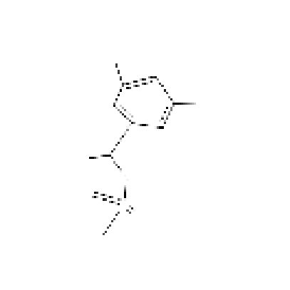 CC(NS(C)(=O)=O)c1cc(F)cc(Cl)c1